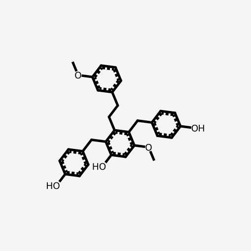 COc1cccc(CCc2c(Cc3ccc(O)cc3)c(O)cc(OC)c2Cc2ccc(O)cc2)c1